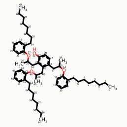 CCCCCCCCc1ccccc1OC(C)Cc1ccc(O)c(CC(C)Oc2ccccc2CCCCCCCC)c1CC(C)Oc1ccccc1CCCCCCCC